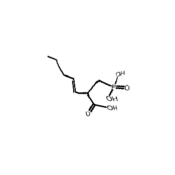 CCCC=CC(CP(=O)(O)O)C(=O)O